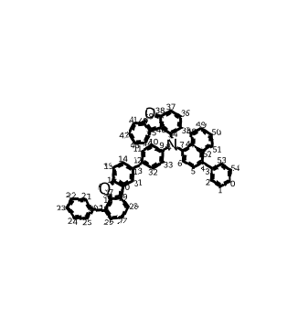 c1ccc(-c2ccc(N(c3ccc(-c4ccc5oc6c(-c7ccccc7)cccc6c5c4)cc3)c3cccc4oc5ccccc5c34)c3ccccc23)cc1